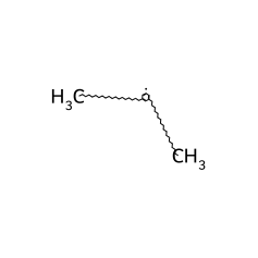 CCCCCCCCCCCCCCCCCCCc1c[c]cc(CCCCCCCCCCCCCCCCCCC)c1